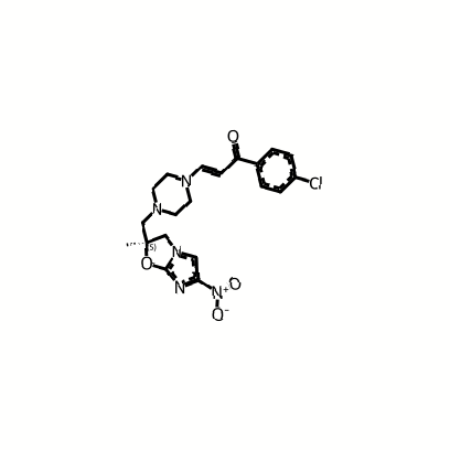 C[C@]1(CN2CCN(C=CC(=O)c3ccc(Cl)cc3)CC2)Cn2cc([N+](=O)[O-])nc2O1